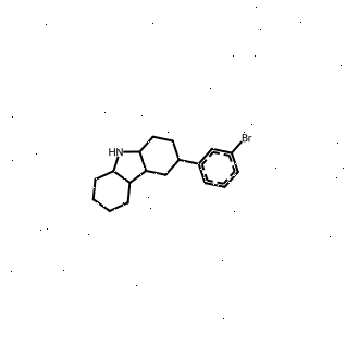 Brc1cccc(C2CCC3NC4CCCCC4C3C2)c1